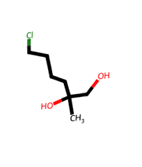 CC(O)(CO)CCCCCl